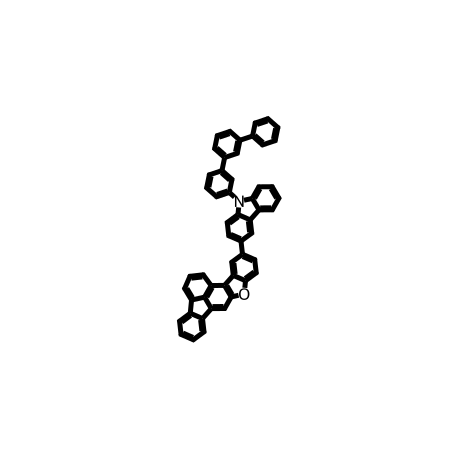 c1ccc(-c2cccc(-c3cccc(-n4c5ccccc5c5cc(-c6ccc7oc8cc9c%10c(cccc%10c8c7c6)-c6ccccc6-9)ccc54)c3)c2)cc1